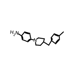 Cc1ccc(CC2CCN(c3ccc(N)cc3)CC2)cc1